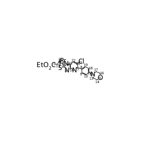 CCOC(=O)C(Sc1nc2nc(-c3ccc(N4CCOCC4)cc3)c(Cl)cc2[nH]1)C(C)C